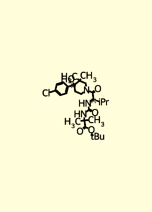 CC(C)[C@@H](NC(=O)NC(C)(C)C(=O)OC(C)(C)C)C(=O)N1CC[C@](O)(c2ccc(Cl)cc2)C(C)(C)C1